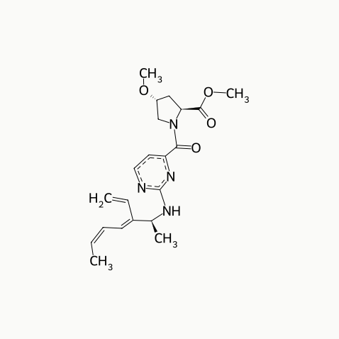 C=C/C(=C\C=C/C)[C@H](C)Nc1nccc(C(=O)N2C[C@H](OC)C[C@H]2C(=O)OC)n1